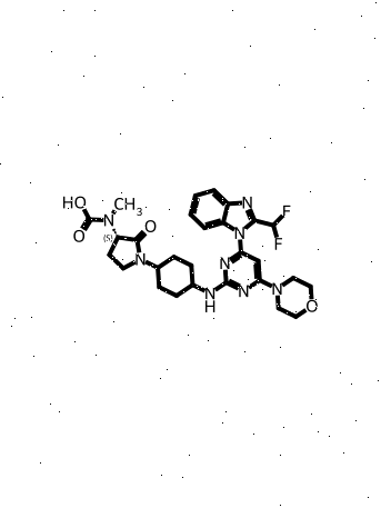 CN(C(=O)O)[C@H]1CCN(C2CCC(Nc3nc(N4CCOCC4)cc(-n4c(C(F)F)nc5ccccc54)n3)CC2)C1=O